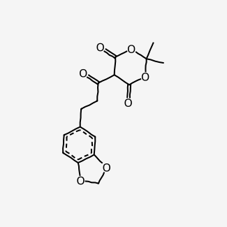 CC1(C)OC(=O)C(C(=O)CCc2ccc3c(c2)OCO3)C(=O)O1